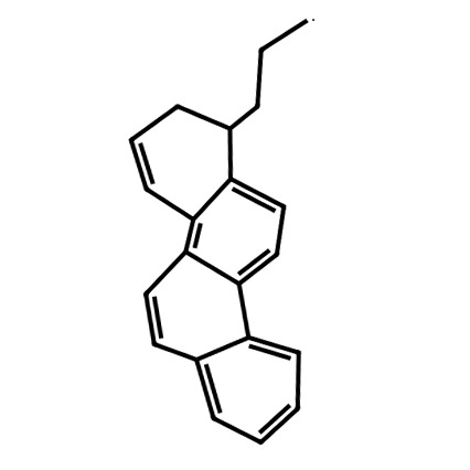 [CH2]CCC1CC=Cc2c1ccc1c2ccc2ccccc21